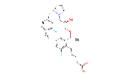 Cc1ccc(C[C@@H]2CCCN2C[C@@H](O)CO[C@H](C)c2cccc(F)c2CCCCC(=O)O)cc1F